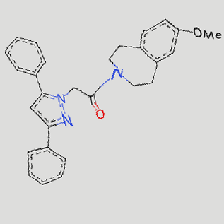 COc1ccc2c(c1)CCN(C(=O)Cn1nc(-c3ccccc3)cc1-c1ccccc1)CC2